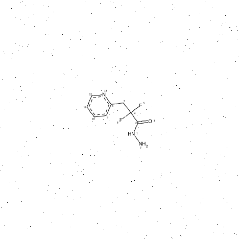 NNC(=O)C(F)(F)Cc1ccccn1